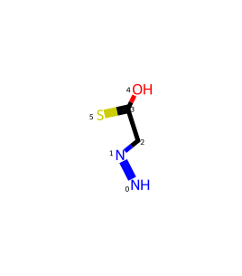 N=NCC(O)=S